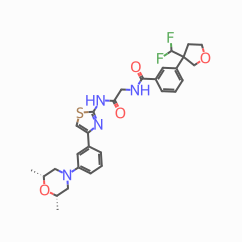 C[C@@H]1CN(c2cccc(-c3csc(NC(=O)CNC(=O)c4cccc(C5(C(F)F)CCOC5)c4)n3)c2)C[C@H](C)O1